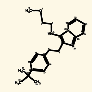 COCCNc1c(CCc2ccc(C(C)(C)C)cc2)nc2ccccn12